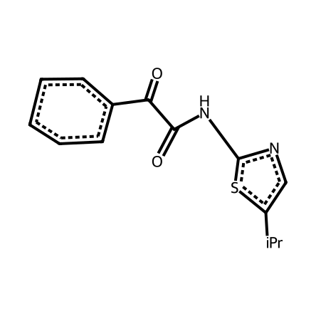 CC(C)c1cnc(NC(=O)C(=O)c2ccccc2)s1